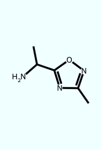 Cc1noc(C(C)N)n1